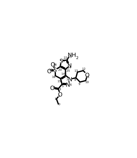 CCOC(=O)c1nn(C2CCOCC2)c2c1CS(=O)(=O)c1sc(N)nc1-2